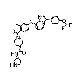 Cc1cc(Nc2nccn3c(-c4ccc(OC(F)F)cc4)cnc23)ccc1C(=O)N1CCN(C(=O)N[C@H]2CCNC2)CC1